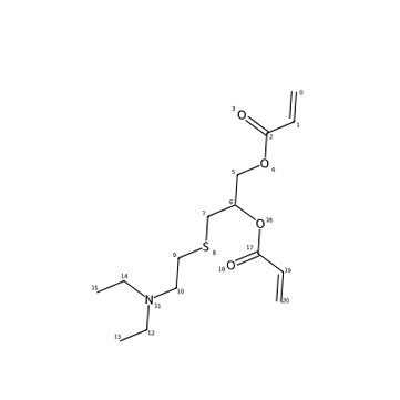 C=CC(=O)OCC(CSCCN(CC)CC)OC(=O)C=C